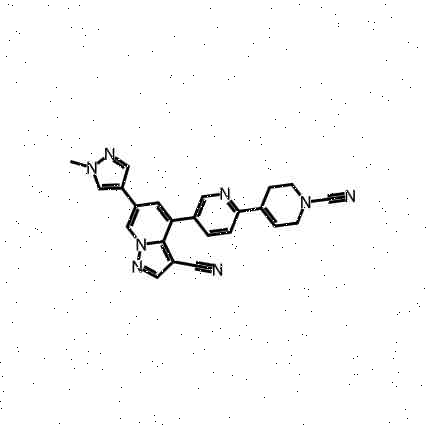 Cn1cc(-c2cc(-c3ccc(C4=CCN(C#N)CC4)nc3)c3c(C#N)cnn3c2)cn1